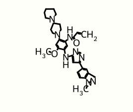 C=CC(=O)Nc1cc(Nc2cc(-c3ccc4c(cnn4C)c3)ncn2)c(OC)cc1N1CCC(N2CCCCC2)CC1